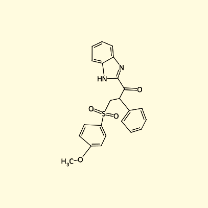 COc1ccc(S(=O)(=O)CC(C(=O)c2nc3ccccc3[nH]2)c2ccccc2)cc1